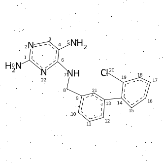 Nc1ncc(N)c(NCc2cccc(-c3ccccc3Cl)c2)n1